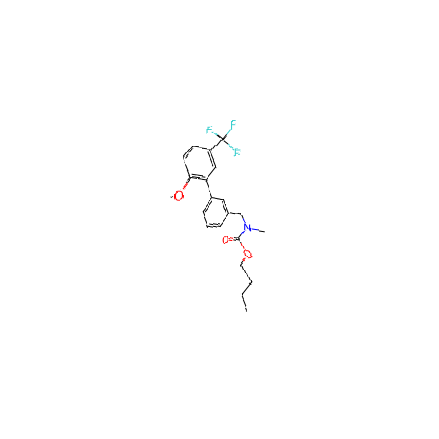 CCCCOC(=O)N(C)Cc1cccc(-c2cc(C(F)(F)F)ccc2[O])c1